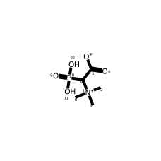 C[N+](C)(C)C(C(=O)[O-])P(=O)(O)O